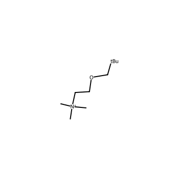 CC(C)(C)COCC[N+](C)(C)C